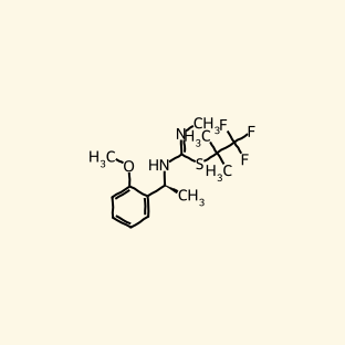 C/N=C(/N[C@@H](C)c1ccccc1OC)SC(C)(C)C(F)(F)F